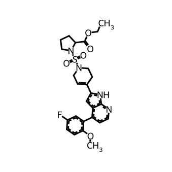 CCOC(=O)C1CCCN1S(=O)(=O)N1CC=C(c2cc3c(-c4cc(F)ccc4OC)ccnc3[nH]2)CC1